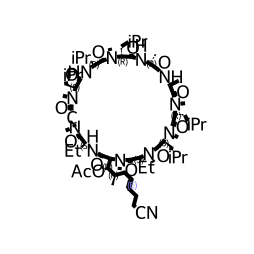 CC[C@@H]1NC(=O)C([C@H](OC(C)=O)[C@H](C)C/C=C/CCC#N)N(C)C(=O)[C@H](CC)N(C)C(=O)[C@H](CC(C)C)N(C)C(=O)[C@@H](CC(C)C)N(C)C(=O)C(C)NC(=O)[C@@H](C)NC(=O)[C@@H](CC(C)C)N(C)C(=O)[C@@H](C(C)C)NC(=O)[C@H](CC(C)C)N(C)C(=O)CN(C)C1=O